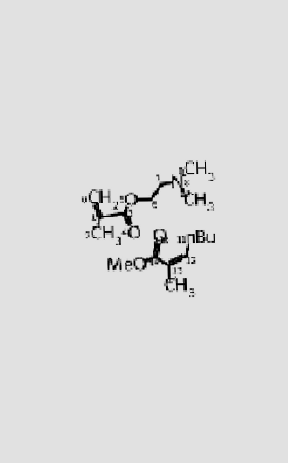 C=C(C)C(=O)OCCN(C)C.CCCCC=C(C)C(=O)OC